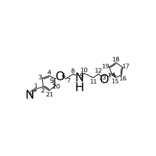 N#Cc1ccc(OCCNCCCOc2ccccc2)cc1